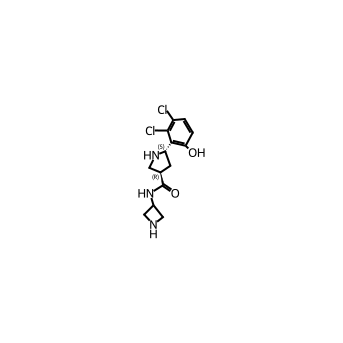 O=C(NC1CNC1)[C@H]1CN[C@H](c2c(O)ccc(Cl)c2Cl)C1